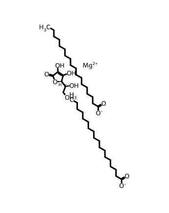 CCCCCCCCCCCCCCCCCC(=O)[O-].CCCCCCCCCCCCCCCCCC(=O)[O-].O=C1O[C@H]([C@@H](O)CO)C(O)=C1O.[Mg+2]